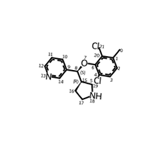 Cc1ccc(Cl)c(O[C@H](c2cccnc2)[C@@H]2CCNC2)c1Cl